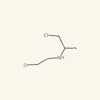 CC(CCl)NCCCl